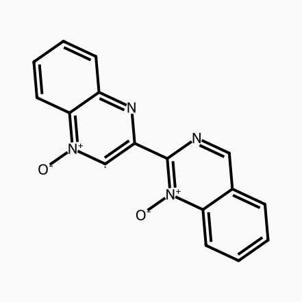 [O-][n+]1[c]c(-c2ncc3ccccc3[n+]2[O-])nc2ccccc21